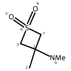 CNC1(C)CS(=O)(=O)C1